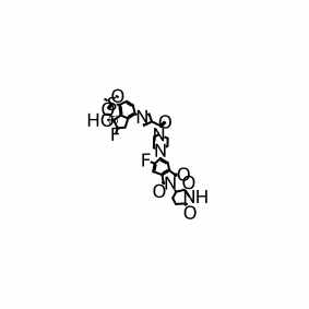 CS(=O)(=O)c1ccc(N2CC(C(=O)N3CCN(c4cc5c(cc4F)C(=O)N(C4CCC(=O)NC4=O)C5=O)CC3)C2)c2c1[C@H](O)C(F)C2